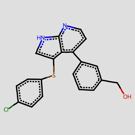 OCc1cccc(-c2ccnc3[nH]cc(Sc4ccc(Cl)cc4)c23)c1